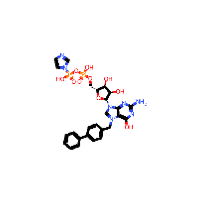 Nc1nc(O)c2c(n1)n([C@@H]1O[C@H](COP(=O)(O)OP(=O)(O)n3ccnc3)[C@@H](O)[C@H]1O)c[n+]2Cc1ccc(-c2ccccc2)cc1